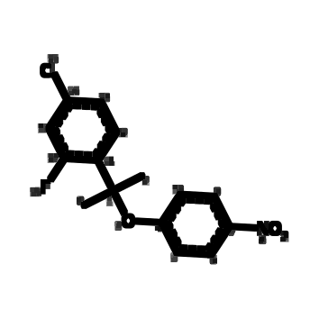 CC(C)(Oc1ccc([N+](=O)[O-])cc1)c1ccc(Cl)cc1F